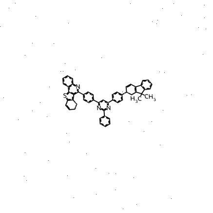 CC1(C)C2=C(C=CC(c3ccc(-c4cc(-c5ccc(-c6nc7ccccc7c7sc8c(c67)CCC=C8)cc5)nc(-c5ccccc5)n4)cc3)C2)c2ccccc21